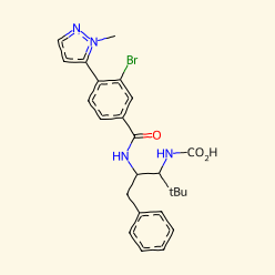 Cn1nccc1-c1ccc(C(=O)NC(Cc2ccccc2)C(NC(=O)O)C(C)(C)C)cc1Br